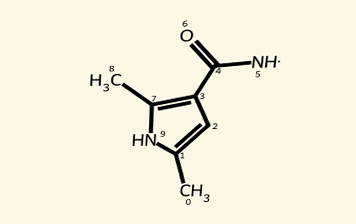 Cc1cc(C([NH])=O)c(C)[nH]1